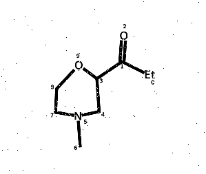 CCC(=O)C1CN(C)CCO1